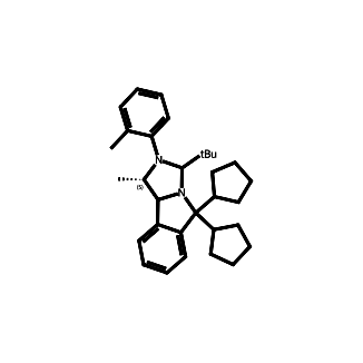 Cc1ccccc1N1C(C(C)(C)C)N2C(c3ccccc3C2(C2CCCC2)C2CCCC2)[C@@H]1C